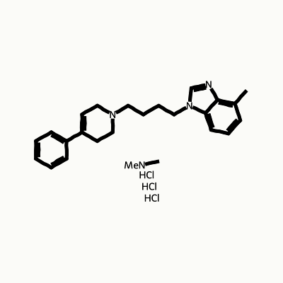 CNC.Cc1cccc2c1ncn2CCCCN1CC=C(c2ccccc2)CC1.Cl.Cl.Cl